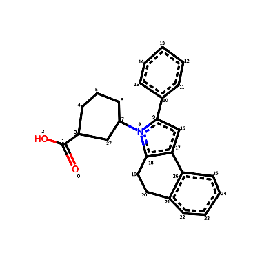 O=C(O)C1CCCC(n2c(-c3ccccc3)cc3c2CCc2ccccc2-3)C1